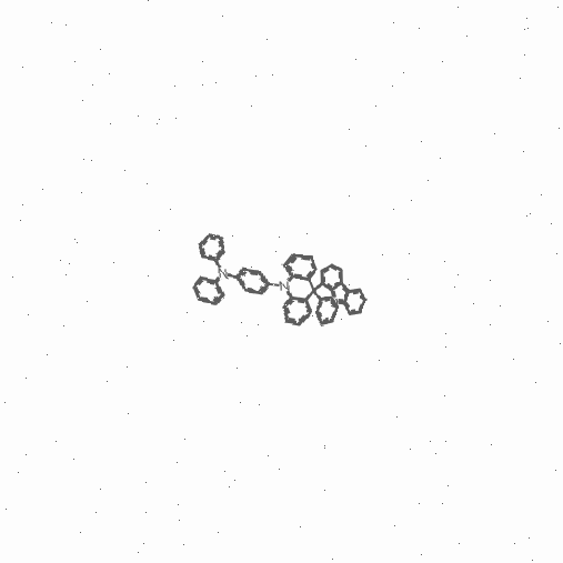 c1ccc(N(c2ccccc2)c2ccc(N3c4ccccc4C(c4ccccc4)(c4cccc5c4oc4ccccc45)c4ccccc43)cc2)cc1